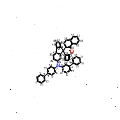 c1ccc(-c2ccc(N(c3cccc(-c4ccccc4)c3)c3ccc4c(c3)C3(c5ccccc5Oc5c3ccc3ccccc53)c3ccccc3-4)cc2)cc1